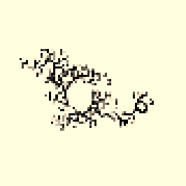 CC[C@H]1OC(=O)[C@H](C)C(=O)[C@H](C)[C@@H](O[C@H](C)C(O)C(N)C[C@H](C)CN)[C@](C)(OC)C[C@@H](C)CN(C)[C@H](C)[C@H]2N(CCCCn3cc(-c4cccc(N)c4)nn3)C(=O)O[C@]12C